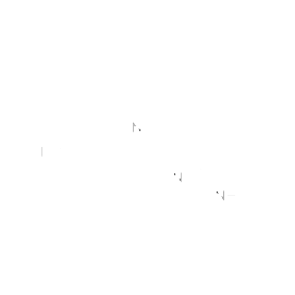 CCCC[n+]1cccc(C)c1.[I-].c1c[nH]cn1